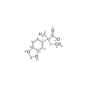 CCC(C)(C(=O)Cl)c1ccc2c(c1)OCO2